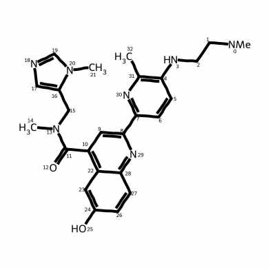 CNCCNc1ccc(-c2cc(C(=O)N(C)Cc3cncn3C)c3cc(O)ccc3n2)nc1C